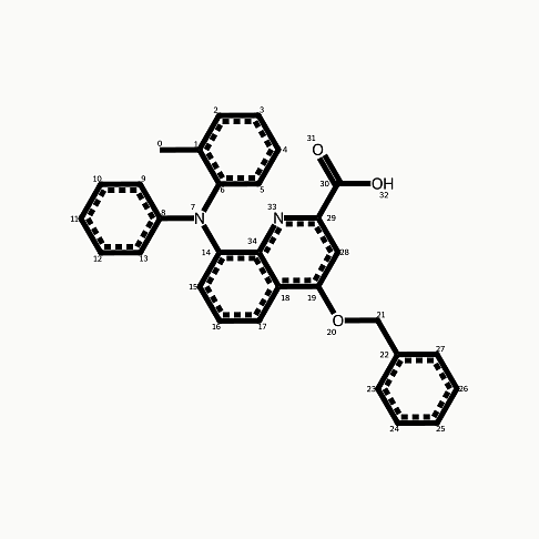 Cc1ccccc1N(c1ccccc1)c1cccc2c(OCc3ccccc3)cc(C(=O)O)nc12